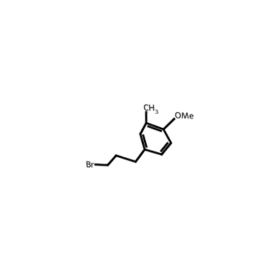 COc1ccc(CCCBr)cc1C